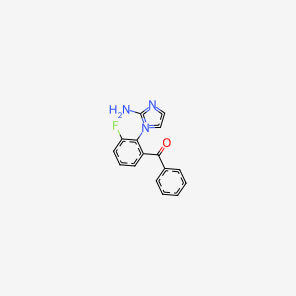 Nc1nccn1-c1c(F)cccc1C(=O)c1ccccc1